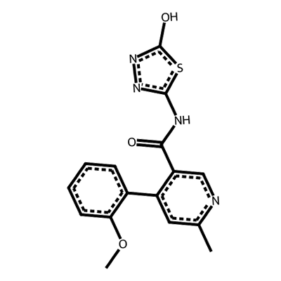 COc1ccccc1-c1cc(C)ncc1C(=O)Nc1nnc(O)s1